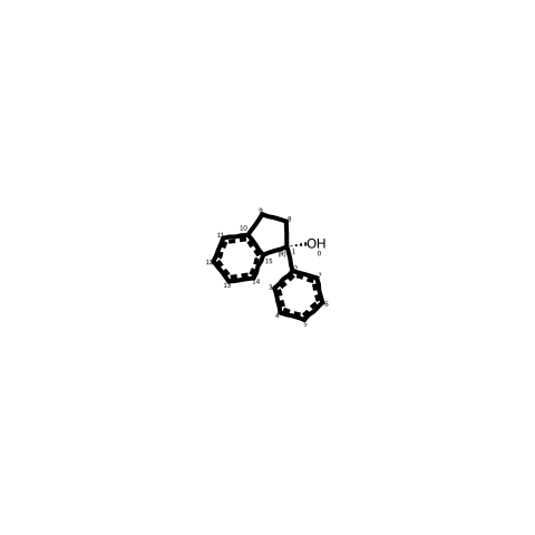 O[C@@]1(c2ccccc2)CCc2ccccc21